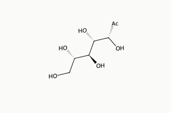 CC(=O)[C@H](O)[C@@H](O)[C@@H](O)[C@@H](O)CO